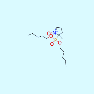 CCCCCOP(=O)(OCCCCC)C1(C)CCC=[N+]1[O-]